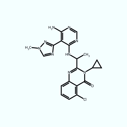 CC(Nc1ncnc(N)c1-c1ncn(C)n1)c1nc2cccc(Cl)c2c(=O)n1C1CC1